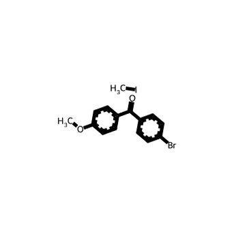 CI.COc1ccc(C(=O)c2ccc(Br)cc2)cc1